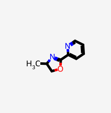 CC1COC(c2ccccn2)=N1